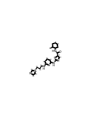 Cc1ccccc1NC(=O)c1cnc(Nc2cccc(NCCCn3ccnc3)n2)s1